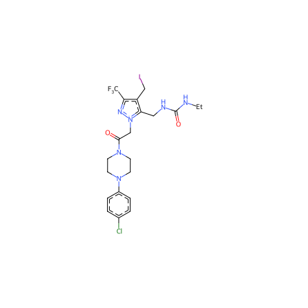 CCNC(=O)NCc1c(CI)c(C(F)(F)F)nn1CC(=O)N1CCN(c2ccc(Cl)cc2)CC1